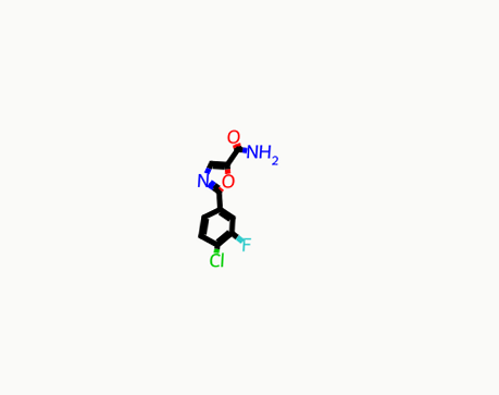 NC(=O)c1cnc(-c2ccc(Cl)c(F)c2)o1